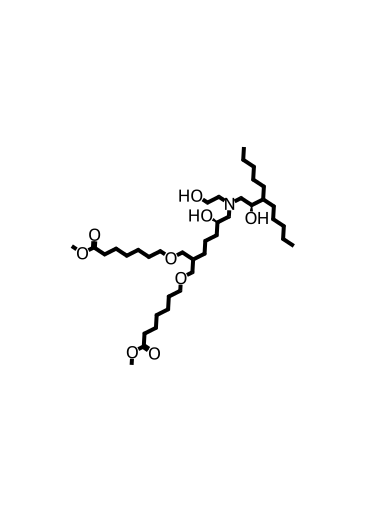 CCCCCC(CCCCC)[C@@H](O)CN(CCO)C[C@H](O)CCCC(COCCCCCCC(=O)OC)COCCCCCCC(=O)OC